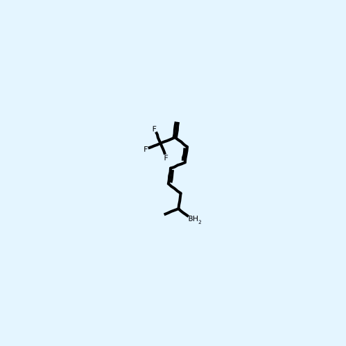 BC(C)C/C=C\C=C/C(=C)C(F)(F)F